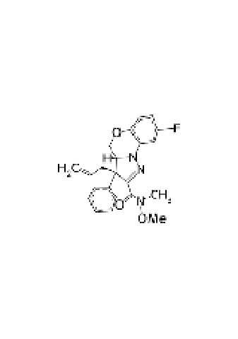 C=CC[C@]1(c2ccccc2)C(C(=O)N(C)OC)=NN2c3cc(F)ccc3OC[C@H]21